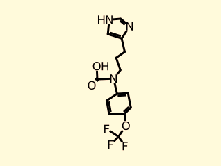 O=C(O)N(CCCc1c[nH]cn1)c1ccc(OC(F)(F)F)cc1